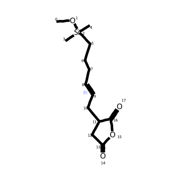 CO[Si](C)(C)CCC/C=C/CC1CC(=O)OC1=O